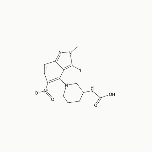 Cn1nc2ccc([N+](=O)[O-])c(N3CCCC(NC(=O)O)C3)c2c1I